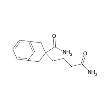 NC(=O)CCCC1(C(N)=O)Cc2cccc(c2)C1